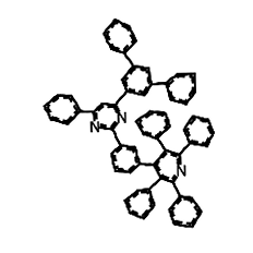 c1ccc(-c2cc(-c3ccccc3)cc(-c3cc(-c4ccccc4)nc(-c4cccc(-c5c(-c6ccccc6)c(-c6ccccc6)nc(-c6ccccc6)c5-c5ccccc5)c4)n3)c2)cc1